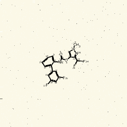 Cn1cc(OC(=O)Nc2ccccc2-c2cc(F)cc(F)c2)c(C(F)F)n1